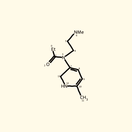 CCC(=O)N(CCNC)C1=CC=C(C)NC1